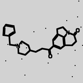 O=C(CCC1CCN(Cc2ccccc2)CC1)c1cc2c3c(c1)CCN3C(=O)CC2